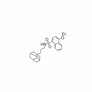 CCOc1ccc(S(=O)(=O)NCCCC23CC4CC(CC(C4)C2)C3)c2ccccc12